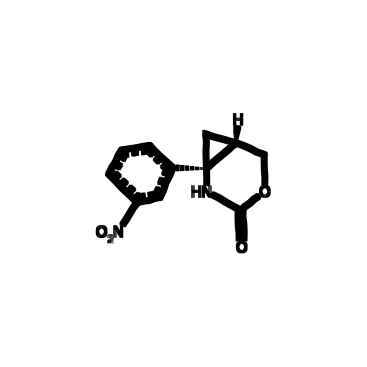 O=C1N[C@@]2(c3cccc([N+](=O)[O-])c3)C[C@@H]2CO1